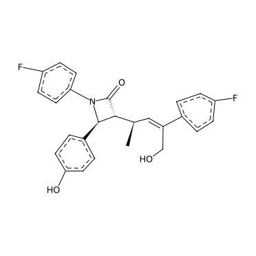 C[C@H](/C=C(\CO)c1ccc(F)cc1)[C@H]1C(=O)N(c2ccc(F)cc2)[C@@H]1c1ccc(O)cc1